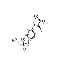 C=C(C)C(=O)Oc1ccc(OC(C)(C)CC)cc1